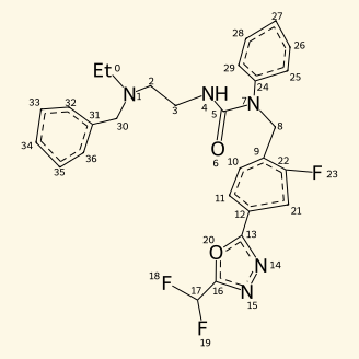 CCN(CCNC(=O)N(Cc1ccc(-c2nnc(C(F)F)o2)cc1F)c1ccccc1)Cc1ccccc1